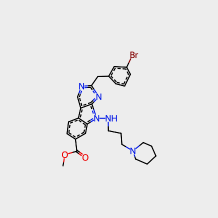 COC(=O)c1ccc2c3cnc(Cc4cccc(Br)c4)nc3n(NCCCN3CCCCC3)c2c1